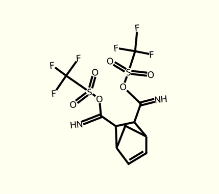 N=C(OS(=O)(=O)C(F)(F)F)C1C2C=CC(C2)C1C(=N)OS(=O)(=O)C(F)(F)F